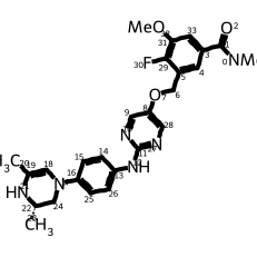 CNC(=O)c1cc(COc2cnc(Nc3ccc(N4C=C(C)N[C@@H](C)C4)cc3)nc2)c(F)c(OC)c1